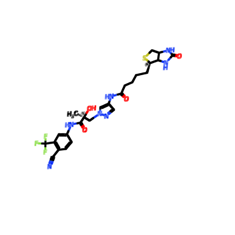 C[C@](O)(Cn1cc(NC(=O)CCCC[C@H]2SCC3NC(=O)NC32)cn1)C(=O)Nc1ccc(C#N)c(C(F)(F)F)c1